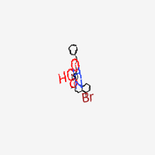 CC1(OC[C@@H](O)COCc2ccccc2)C=Cc2c(Br)cccc2N1